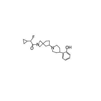 O=C(C(F)C1CC1)N1CC2(CCC(N3CCC(c4ccccc4O)CC3)C2)C1